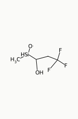 C[SiH]([O])C(O)CC(F)(F)F